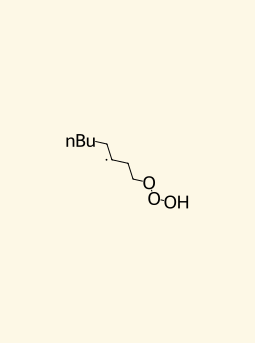 CCCCC[CH]CCOOO